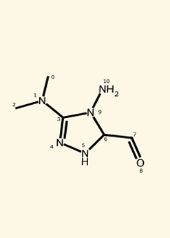 CN(C)C1=NNC(C=O)N1N